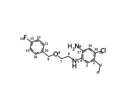 CCc1cc(NCCOCc2ccc(F)cc2)c(N)cc1Cl